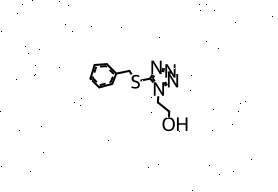 OCCn1nnnc1SCc1ccccc1